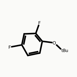 CC(C)(C)Oc1ccc(F)cc1F